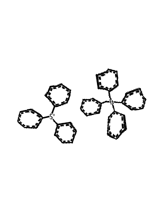 c1ccc([B-](c2ccccc2)(c2ccccc2)c2ccccc2)cc1.c1ccc([S+](c2ccccc2)c2ccccc2)cc1